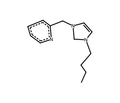 CCCCN1C=CN(Cc2ccccn2)C1